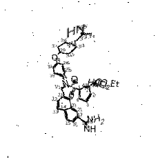 CCOC(=O)c1cccc(S(=O)(=O)N(Cc2ccc3ccc(C(=N)N)cc3c2)c2ccc(OC3CCN(C(C)=N)CC3)cc2)c1.Cl.Cl